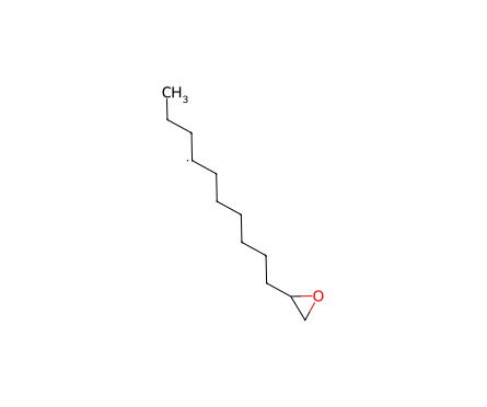 CCC[CH]CCCCCCC1CO1